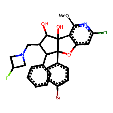 COc1nc(Cl)cc2c1C1(O)C(O)C(CN3CC(F)C3)C(c3ccccc3)C1(c1ccc(Br)cc1)O2